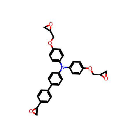 c1cc(N(c2ccc(OC[C@H]3CO3)cc2)c2ccc(-c3ccc(C4CO4)cc3)cc2)ccc1OCC1CO1